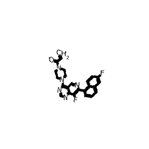 C=CC(=O)N1CCN(c2ncnc3c(F)c(-c4cccc5cc(F)ccc45)ncc23)CC1